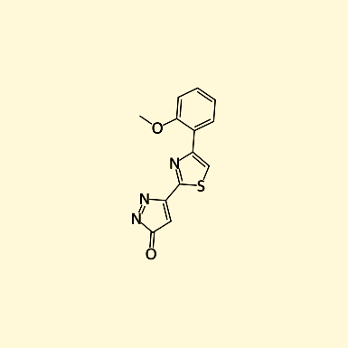 COc1ccccc1-c1csc(C2=CC(=O)N=N2)n1